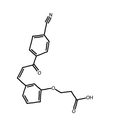 N#Cc1ccc(C(=O)/C=C\c2cccc(OCCC(=O)O)c2)cc1